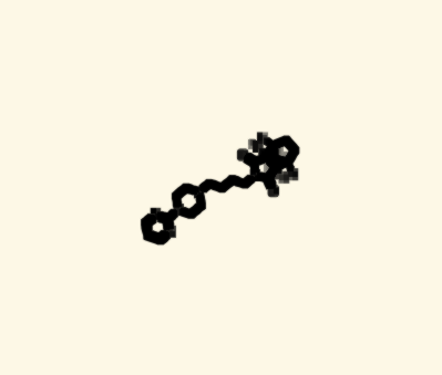 [2H][C@@]12C(=O)N(CCCCN3CCN(c4ncccn4)CC3)C(=O)[C@]1([2H])[C@@H]1CC[C@H]2C1